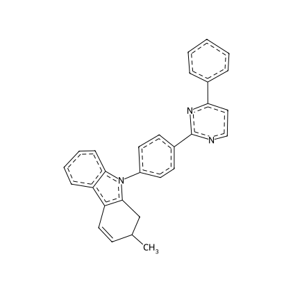 CC1C=Cc2c(n(-c3ccc(-c4nccc(-c5ccccc5)n4)cc3)c3ccccc23)C1